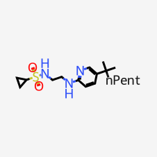 CCCCCC(C)(C)c1ccc(NCCNS(=O)(=O)C2CC2)nc1